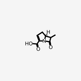 CC1C(=O)N2C(C(=O)O)=CC[C@@H]12